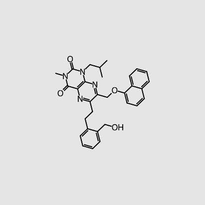 CC(C)Cn1c(=O)n(C)c(=O)c2nc(CCc3ccccc3CO)c(COc3cccc4ccccc34)nc21